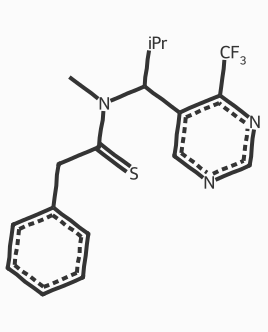 CC(C)C(c1cncnc1C(F)(F)F)N(C)C(=S)Cc1ccccc1